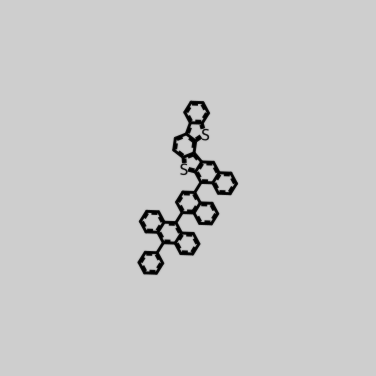 c1ccc(-c2c3ccccc3c(-c3ccc(-c4c5ccccc5cc5c4sc4ccc6c7ccccc7sc6c45)c4ccccc34)c3ccccc23)cc1